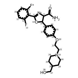 NC(=O)C1N=C(c2c(F)cccc2F)OC1c1ccc(OCCN2CCC(CO)CC2)cc1